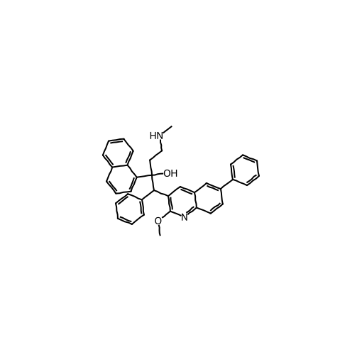 CNCCC(O)(c1cccc2ccccc12)C(c1ccccc1)c1cc2cc(-c3ccccc3)ccc2nc1OC